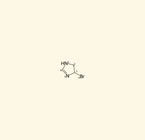 BrC1[C]NC=N1